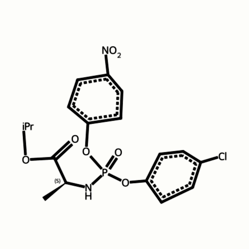 CC(C)OC(=O)[C@H](C)NP(=O)(Oc1ccc(Cl)cc1)Oc1ccc([N+](=O)[O-])cc1